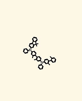 Cc1ccccc1-c1ccc(N(c2ccccc2)c2ccc(-c3ccc(N(c4ccccc4)c4ccc5c(c4)C(C)(C)c4ccccc4-5)cc3C)c(C)c2)cc1C